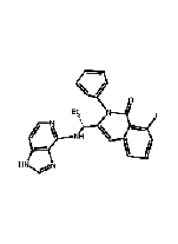 CC[C@@H](Nc1nccc2[nH]cnc12)c1cc2cccc(F)c2c(=O)n1-c1ccccc1